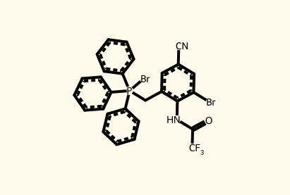 N#Cc1cc(Br)c(NC(=O)C(F)(F)F)c(CP(Br)(c2ccccc2)(c2ccccc2)c2ccccc2)c1